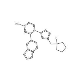 N#Cc1ccc(-c2cnn(CC3(F)CCCC3)c2)c(-c2ccn3cccc3c2)n1